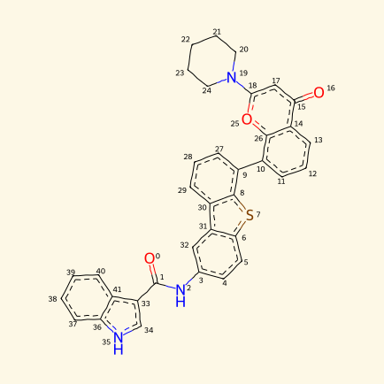 O=C(Nc1ccc2sc3c(-c4cccc5c(=O)cc(N6CCCCC6)oc45)cccc3c2c1)c1c[nH]c2ccccc12